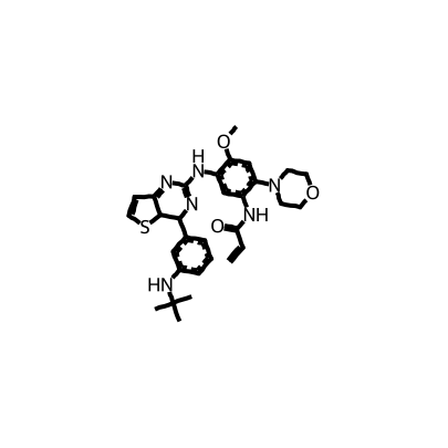 C=CC(=O)Nc1cc(NC2=NC(c3cccc(NC(C)(C)C)c3)C3SC=CC3=N2)c(OC)cc1N1CCOCC1